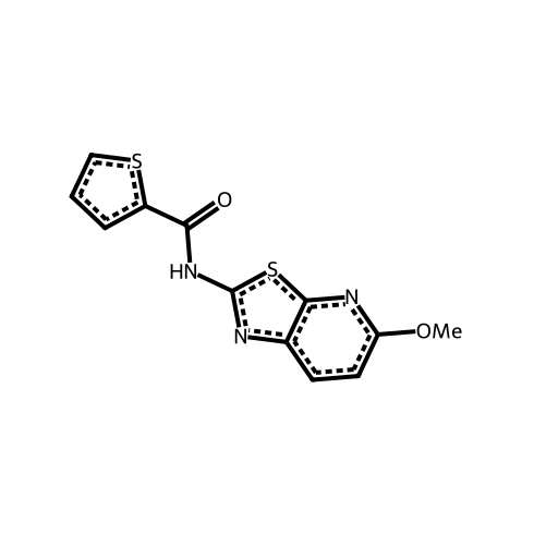 COc1ccc2nc(NC(=O)c3cccs3)sc2n1